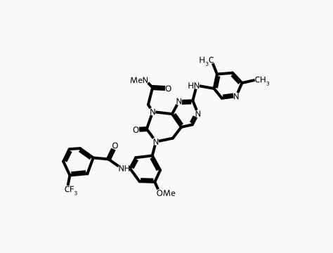 CNC(=O)CN1C(=O)N(c2cc(NC(=O)c3cccc(C(F)(F)F)c3)cc(OC)c2)Cc2cnc(Nc3cnc(C)cc3C)nc21